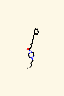 CC(C)CCCN1CCN(C(=O)CCCCCCc2ccccc2)CC1